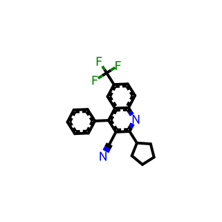 N#Cc1c(C2CCCC2)nc2ccc(C(F)(F)F)cc2c1-c1ccccc1